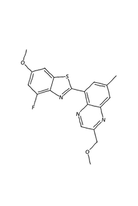 COCc1cnc2c(-c3nc4c(F)cc(OC)cc4s3)cc(C)cc2n1